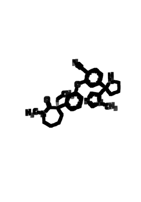 CC[C@]1(c2cccc(Oc3cc([C@]4(c5cncn5C)CCCN4)ccc3C#N)c2)CCCCN(C)C1=O